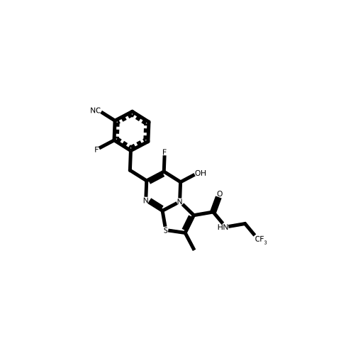 CC1=C(C(=O)NCC(F)(F)F)N2C(=NC(Cc3cccc(C#N)c3F)=C(F)C2O)S1